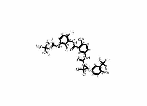 CC(C)(C)OC(=O)Nc1ccc(F)c(NC(=O)c2cc(NC(=O)[C@H]3[C@H](c4ccc(F)c(C(F)(F)F)c4)C3(Cl)Cl)ccc2Cl)c1F